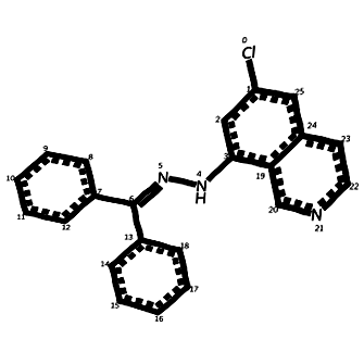 Clc1cc(NN=C(c2ccccc2)c2ccccc2)c2cnccc2c1